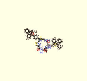 CC(C)C1NC(=O)[C@]2(C)CSC(=N2)c2nc(sc2-c2ccc(CO[Si](c3ccccc3)(c3ccccc3)C(C)(C)C)cc2)CNC(=O)CC(/C=C/CCSC(c2ccccc2)(c2ccccc2)c2ccccc2)NC1=O